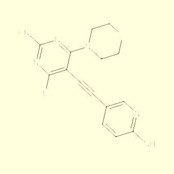 CCc1nc(N)nc(N2CCOCC2)c1C#Cc1ccc(N)nc1